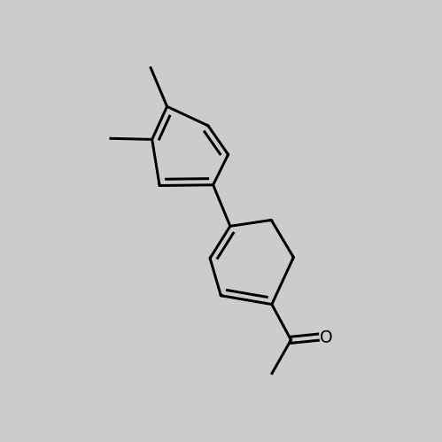 CC(=O)C1=CC=C(c2ccc(C)c(C)c2)CC1